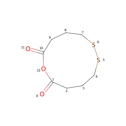 O=C1CCCSSCCCC(=O)O1